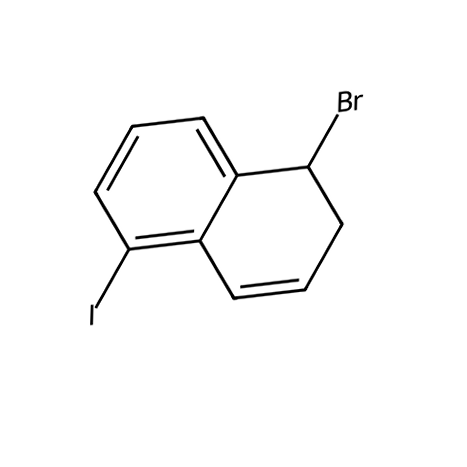 BrC1CC=Cc2c(I)cccc21